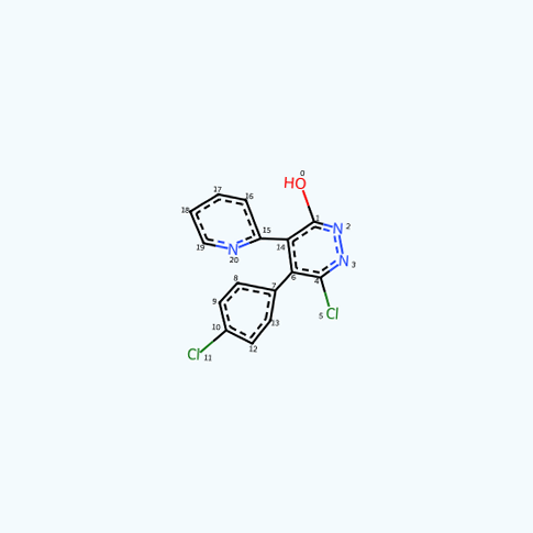 Oc1nnc(Cl)c(-c2ccc(Cl)cc2)c1-c1ccccn1